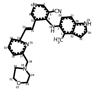 Cc1c(Nc2c(C#N)cncc2C=Cc2cccc(CN3CCOCC3)n2)ccc2[nH]ccc12